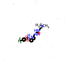 CN(C)CCCNC(=O)CNCc1ccc2cccc(NS(=O)(=O)c3ccc(C(F)(F)F)cc3)c2n1